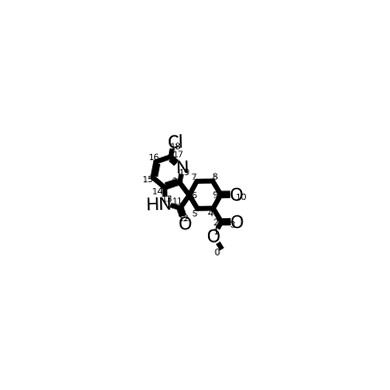 COC(=O)C1CC2(CCC1=O)C(=O)Nc1ccc(Cl)nc12